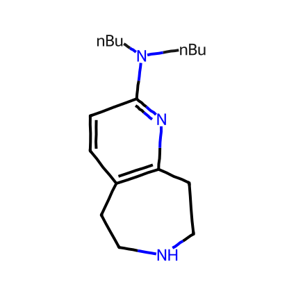 CCCCN(CCCC)c1ccc2c(n1)CCNCC2